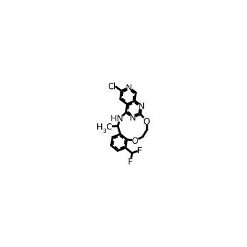 CC1Nc2nc(nc3cnc(Cl)cc23)OCCOc2c(C(F)F)cccc21